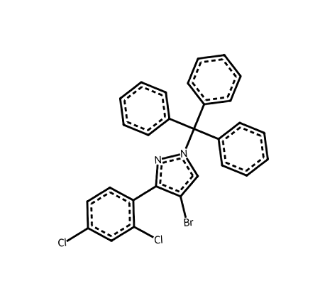 Clc1ccc(-c2nn(C(c3ccccc3)(c3ccccc3)c3ccccc3)cc2Br)c(Cl)c1